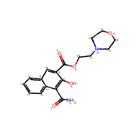 NC(=O)c1c(O)c(C(=O)OCCN2CCOCC2)cc2ccccc12